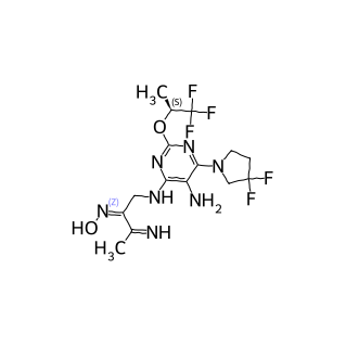 CC(=N)/C(CNc1nc(O[C@@H](C)C(F)(F)F)nc(N2CCC(F)(F)C2)c1N)=N\O